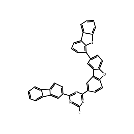 Clc1nc(-c2ccc3c(c2)-c2ccccc2-3)nc(-c2ccc3oc4ccc(-c5cccc6c5sc5ccccc56)cc4c3c2)n1